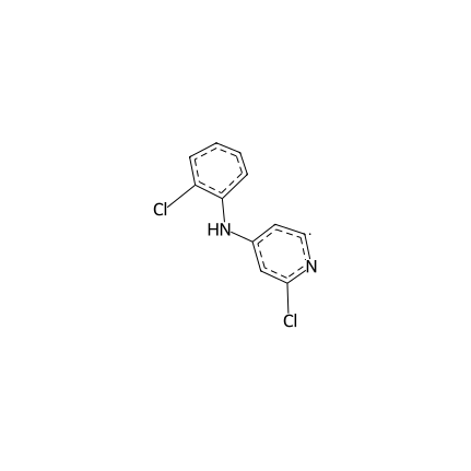 Clc1cc(Nc2ccccc2Cl)c[c]n1